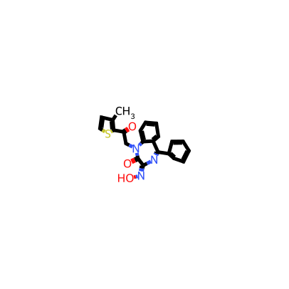 Cc1ccsc1C(=O)Cn1c(=O)c(=NO)nc(-c2ccccc2)c2ccccc21